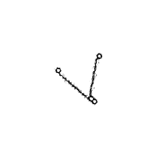 c1ccc(COCCOCCOCCOCCOCCOc2cc3ccccc3cc2OCCOCCOCCOCCOCCOCc2ccccc2)cc1